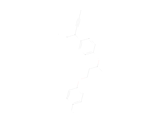 CC#CC(CC(=O)O)c1ccc(OC(C)CCOc2ccc(C(F)(F)F)cc2)cc1